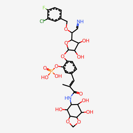 C/C(=C\c1ccc(OC2OC(C(C=N)OCc3ccc(F)c(Cl)c3)C(O)C2O)c(OP(=O)(O)O)c1)C(=O)NC1C(O)C(O)C2OCOC2C1O